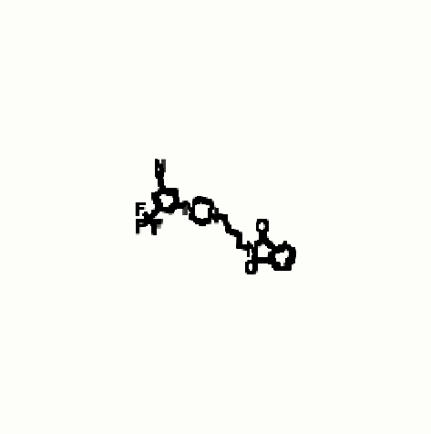 N#Cc1cc(N2CCN(CCCCN3C(=O)c4ccccc4C3=O)CC2)cc(C(F)(F)F)c1